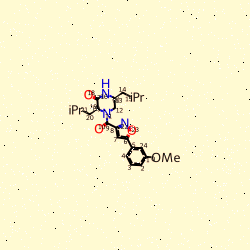 COc1cccc(-c2cc(C(=O)N3C[C@H](CC(C)C)NC(=O)[C@@H]3CC(C)C)no2)c1